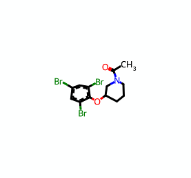 CC(=O)N1CCCC(Oc2c(Br)cc(Br)cc2Br)C1